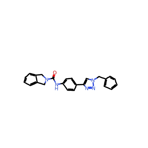 O=C(Nc1ccc(-c2cn(Cc3ccccc3)nn2)cc1)N1Cc2ccccc2C1